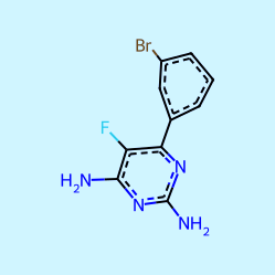 Nc1nc(N)c(F)c(-c2cccc(Br)c2)n1